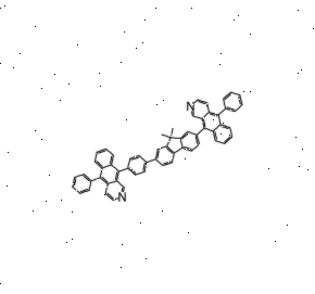 CC1(C)c2cc(-c3ccc(-c4c5ccccc5c(-c5ccccc5)c5ccncc45)cc3)ccc2-c2ccc(-c3c4ccccc4c(-c4ccccc4)c4ccncc34)cc21